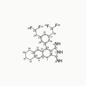 N=C1NC(=N)c2c1cc1cc3c(cc1c2-c1cc(CC(F)F)cc(CC(F)F)c1)CCCC3